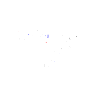 COc1ccc(N2CCN(C)CC2)c2c1CCC(C(=O)Nc1ccc(N3CCOCC3)cc1)C2